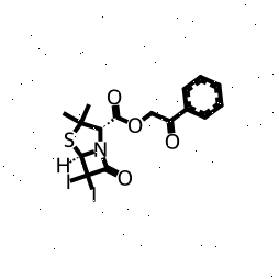 CC1(C)S[C@H]2N(C(=O)C2(I)I)[C@H]1C(=O)OCC(=O)c1ccccc1